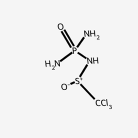 NP(N)(=O)N[S+]([O-])C(Cl)(Cl)Cl